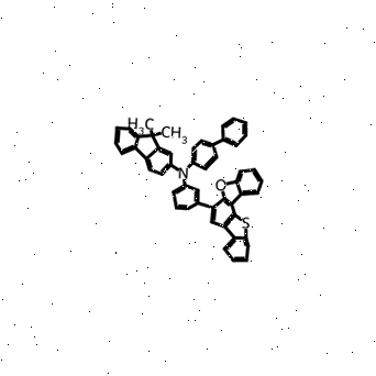 CC1(C)c2ccccc2-c2ccc(N(c3ccc(-c4ccccc4)cc3)c3cccc(-c4cc5c6ccccc6sc5c5c4oc4ccccc45)c3)cc21